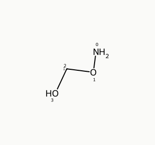 NO[C]O